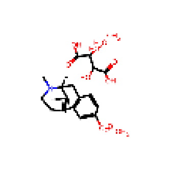 CN1CC[C@]23CCCC[C@H]2[C@H]1Cc1ccc(O)cc13.O.O.O.O.O=C(O)C(O)C(O)C(=O)O